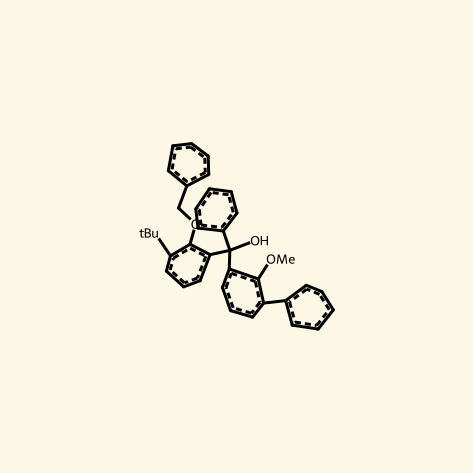 COc1c(-c2ccccc2)cccc1C(O)(c1ccccc1)c1cccc(C(C)(C)C)c1OCc1ccccc1